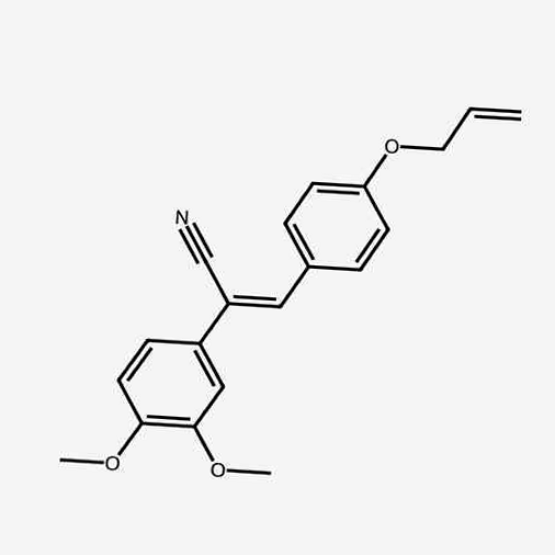 C=CCOc1ccc(/C=C(\C#N)c2ccc(OC)c(OC)c2)cc1